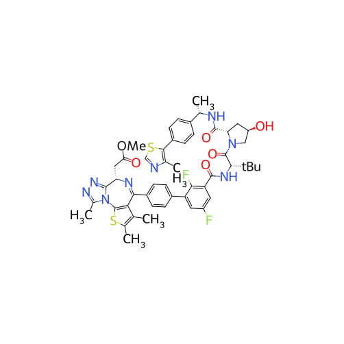 COC(=O)C[C@@H]1N=C(c2ccc(-c3cc(F)cc(C(=O)N[C@H](C(=O)N4C[C@H](O)C[C@H]4C(=O)N[C@@H](C)c4ccc(-c5scnc5C)cc4)C(C)(C)C)c3F)cc2)c2c(sc(C)c2C)-n2c(C)nnc21